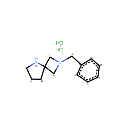 Cl.Cl.c1ccc(CN2CC3(CCCN3)C2)cc1